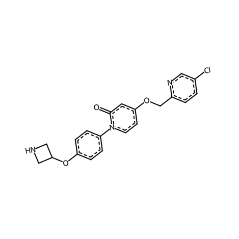 O=c1cc(OCc2ccc(Cl)cn2)ccn1-c1ccc(OC2CNC2)cc1